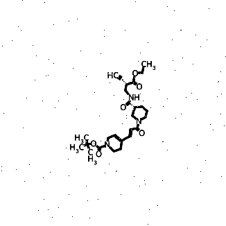 C#C[C@@H](CNC(=O)[C@@H]1CCCN(C(=O)/C=C/C2=CCN(C(=O)OC(C)(C)C)CC2)C1)C(=O)OCC